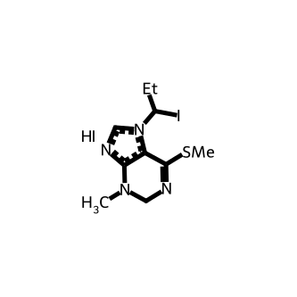 CCC(I)n1cnc2c1C(SC)=NCN2C.I